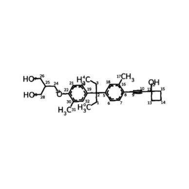 CCC(CC)(c1ccc(C#CC2(O)CCC2)c(C)c1)c1ccc(OCC(CO)CO)c(C)c1